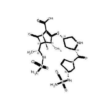 C[C@@H](NS(C)(=O)=O)[C@H]1C(=O)N2C(C(=O)O)=C(S[C@@H]3CN[C@H](C(=O)N4CC[C@@H](NS(N)(=O)=O)C4)C3)[C@H](C)[C@H]12